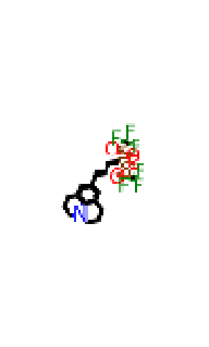 O=S(=O)(C(=CC=Cc1cc2c3c(c1)CCCN3CCC2)S(=O)(=O)C(F)(F)F)C(F)(F)F